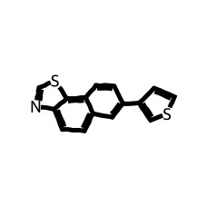 c1cc(-c2ccc3c(ccc4ncsc43)c2)cs1